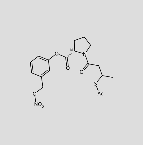 CC(=O)SC(C)CC(=O)N1CCC[C@H]1C(=O)Oc1cccc(CO[N+](=O)[O-])c1